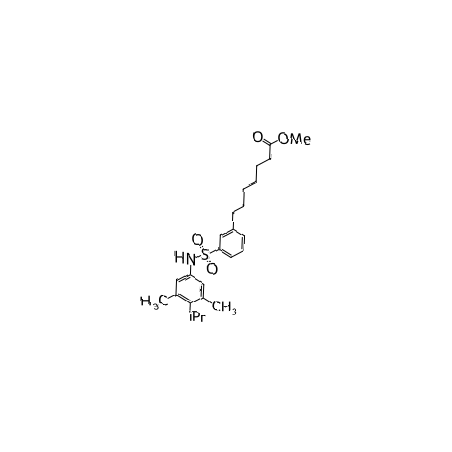 COC(=O)CCCCCCc1cccc(S(=O)(=O)Nc2cc(C)c(C(C)C)c(C)c2)c1